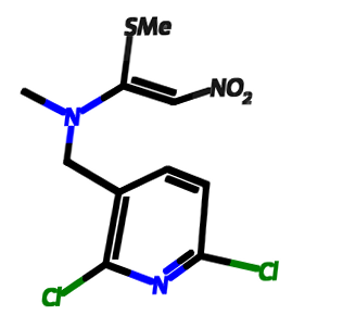 CSC(=C[N+](=O)[O-])N(C)Cc1ccc(Cl)nc1Cl